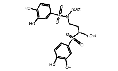 CCCCCCCCN(CCN(CCCCCCCC)S(=O)(=O)c1ccc(O)c(O)c1)S(=O)(=O)c1ccc(O)c(O)c1